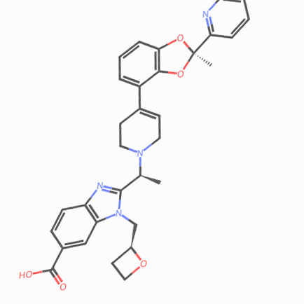 C[C@@H](c1nc2ccc(C(=O)O)cc2n1C[C@@H]1CCO1)N1CC=C(c2cccc3c2O[C@](C)(c2ccc(Cl)cn2)O3)CC1